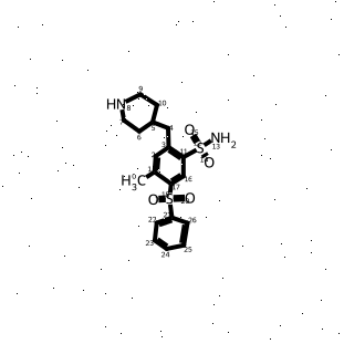 Cc1cc(CC2CCNCC2)c(S(N)(=O)=O)cc1S(=O)(=O)c1ccccc1